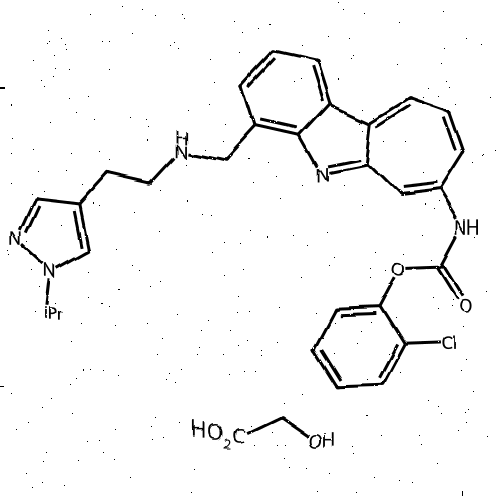 CC(C)n1cc(CCNCc2cccc3c4cccc(NC(=O)Oc5ccccc5Cl)cc-4nc23)cn1.O=C(O)CO